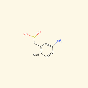 Nc1cccc(CS(=O)O)c1.[NaH]